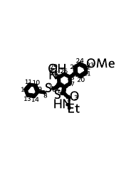 CCNC(=O)c1sc(SCc2ccccc2)c2c1CC(c1ccc(OC)cc1)CC2=NO